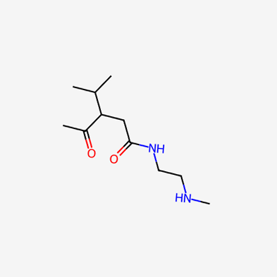 CNCCNC(=O)CC(C(C)=O)C(C)C